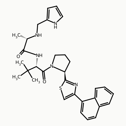 C[C@H](NCc1ccc[nH]1)C(=O)N[C@H](C(=O)N1CCC[C@H]1c1nc(-c2cccc3ccccc23)cs1)C(C)(C)C